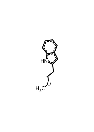 CO[CH]Cc1cc2ccccc2[nH]1